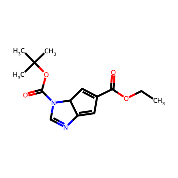 CCOC(=O)C1=CC2C(=C1)N=CN2C(=O)OC(C)(C)C